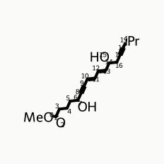 COC(=O)CCC[C@H](O)C#C/C=C/C=C/[C@H](O)CC#CC(C)C